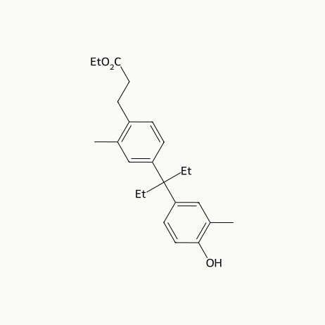 CCOC(=O)CCc1ccc(C(CC)(CC)c2ccc(O)c(C)c2)cc1C